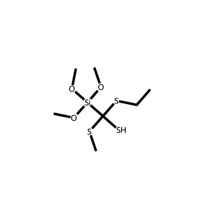 CCSC(S)(SC)[Si](OC)(OC)OC